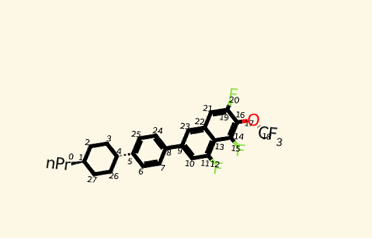 CCC[C@H]1CC[C@H](c2ccc(-c3cc(F)c4c(F)c(OC(F)(F)F)c(F)cc4c3)cc2)CC1